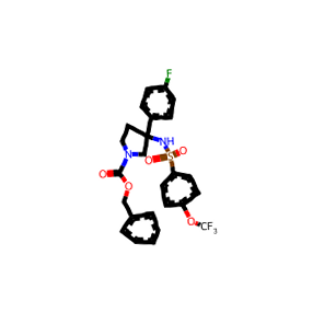 O=C(OCc1ccccc1)N1CCC(NS(=O)(=O)c2ccc(OC(F)(F)F)cc2)(c2ccc(F)cc2)C1